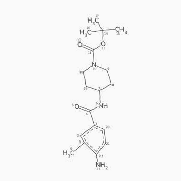 Cc1cc(C(=O)NC2CCN(C(=O)OC(C)(C)C)CC2)ccc1N